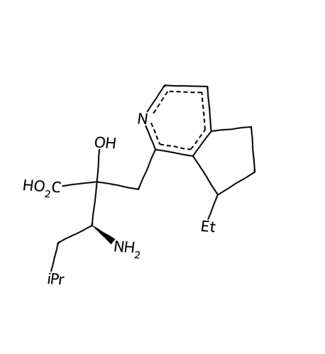 CCC1CCc2ccnc(CC(O)(C(=O)O)[C@@H](N)CC(C)C)c21